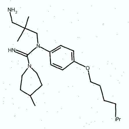 CC(C)CCCCOc1ccc(N(CC(C)(C)CN)C(=N)N2CCC(C)CC2)cc1